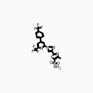 Cc1nc(-c2cn(-c3cc(-c4ccc(C(F)(F)F)cc4)cc(C(F)(F)F)n3)cn2)sc1S(N)(=O)=O